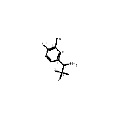 CC(C)(C)C(N)c1ccc(F)c(F)c1